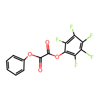 O=C(Oc1ccccc1)C(=O)Oc1c(F)c(F)c(F)c(F)c1F